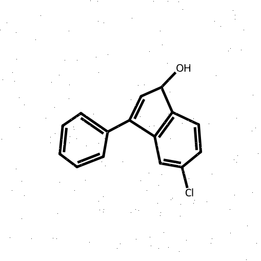 OC1C=C(c2ccccc2)c2cc(Cl)ccc21